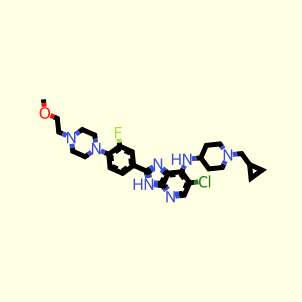 COCCN1CCN(c2ccc(-c3nc4c(NC5CCN(CC6CC6)CC5)c(Cl)cnc4[nH]3)cc2F)CC1